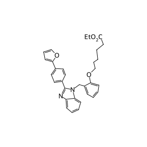 CCOC(=O)CCCCCOc1ccccc1Cn1c(-c2ccc(-c3ccco3)cc2)nc2ccccc21